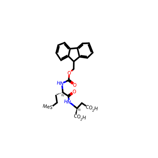 CSCC[C@H](NC(=O)OCC1c2ccccc2-c2ccccc21)C(=O)N[C@@H](CC(=O)O)C(=O)O